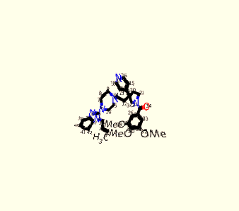 CC=CCn1c(N2CCCN(CCC3(c4ccncc4)CCN(C(=O)c4cc(OC)c(OC)c(OC)c4)C3)CC2)nc2ccccc21